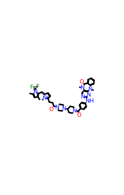 Cc1cc(C)n(B(F)F)c1/C=C1/C=CC(CCC(=O)N2CCN(C3CCN(C(=O)c4ccc(Nc5ncc6c(n5)N(C)c5ccccc5C(=O)N6C)cc4)CC3)CC2)=[N+]1C